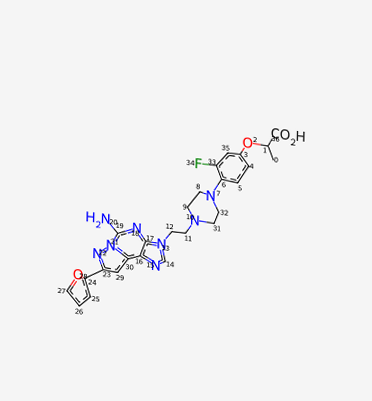 CC(Oc1ccc(N2CCN(CCn3cnc4c3nc(N)n3nc(-c5ccco5)cc43)CC2)c(F)c1)C(=O)O